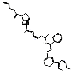 C=CCCC(=C)C1CC2=CC=C(/C(C)=C/C=C\CC(C)N/C(=C\CC3=CCCC(C(/C=C\CC)=C/C)=C3)c3ccccc3)C3=CC2C31